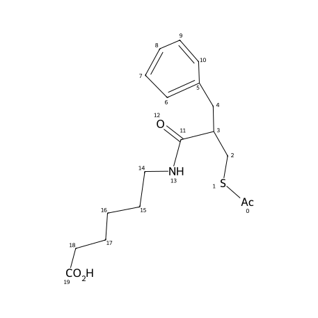 CC(=O)SCC(Cc1ccccc1)C(=O)NCCCCCC(=O)O